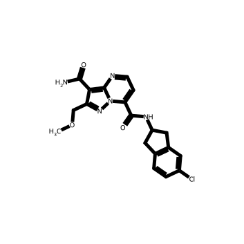 COCc1nn2c(C(=O)NC3Cc4ccc(Cl)cc4C3)ccnc2c1C(N)=O